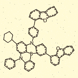 c1ccc(N2c3ccccc3B3c4cc(-c5cccc6c5oc5ccccc56)ccc4N(c4ccc(-c5cccc6c5oc5ccccc56)cc4)c4cc(C5CCCCC5)cc2c43)cc1